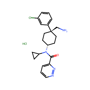 Cl.NC[C@]1(c2cccc(Cl)c2)CC[C@@H](N(C(=O)c2cccnn2)C2CC2)CC1